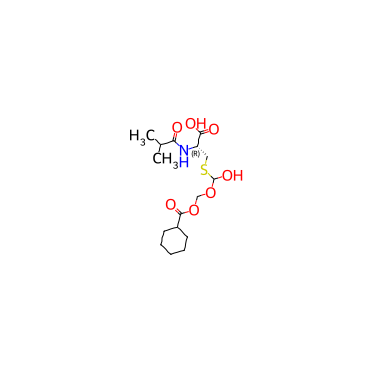 CC(C)C(=O)N[C@@H](CSC(O)OCOC(=O)C1CCCCC1)C(=O)O